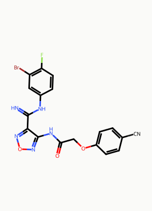 N#Cc1ccc(OCC(=O)Nc2nonc2C(=N)Nc2ccc(F)c(Br)c2)cc1